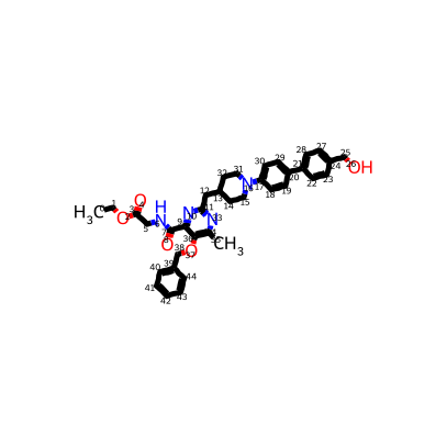 CCOC(=O)CNC(=O)c1nc(CC2CCN(c3ccc(-c4ccc(CO)cc4)cc3)CC2)nc(C)c1OCc1ccccc1